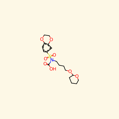 O=C(O)N(CCCCOC1CCCCO1)S(=O)(=O)c1ccc2c(c1)OCCO2